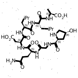 CC(C)C[C@H](NC(=O)[C@H](CC(C)C)NC(=O)[C@H](CC(=O)O)NC(=O)[C@H](CCC(N)=O)NC(=O)CNC(=O)[C@@H]1C[C@@H](O)CN1)C(=O)N[C@@H](C)C(=O)O